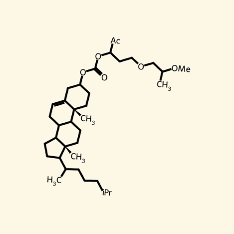 COC(C)COCCC(OC(=O)OC1CC[C@@]2(C)C(=CCC3C4CCC(C(C)CCCC(C)C)[C@@]4(C)CCC32)C1)C(C)=O